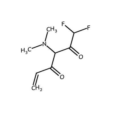 C=CC(=O)C(C(=O)C(F)F)N(C)C